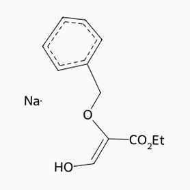 CCOC(=O)/C(=C/O)OCc1ccccc1.[Na]